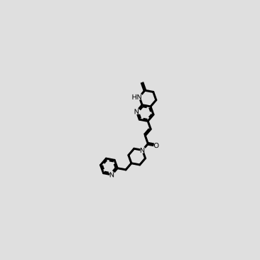 C=C1CCc2cc(/C=C/C(=O)N3CCC(Cc4ccccn4)CC3)cnc2N1